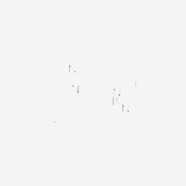 c1ccc(B2N(c3ccccc3)c3ccccc3N2c2cccc(-c3nc(-c4ccccc4)cc(-c4ccccc4)n3)c2)cc1